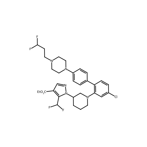 CCOC(=O)c1cnn(C2CCCN(c3cc(Cl)ccc3-c3ccc(N4CCN(CCC(F)F)CC4)cc3)C2)c1C(F)F